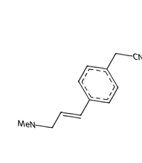 CNC/C=C/c1ccc(CC#N)cc1